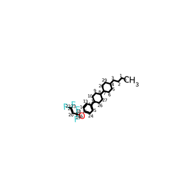 CCCCC1CCC(C2CCC(c3ccc(OC(F)(F)C=C(F)F)cc3)CC2)CC1